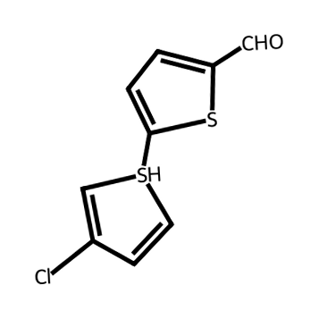 O=Cc1ccc([SH]2C=CC(Cl)=C2)s1